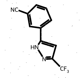 N#Cc1cccc(-c2cc(C(F)(F)F)n[nH]2)c1